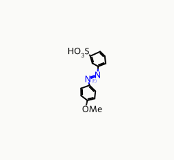 COc1ccc(/N=N/c2cccc(S(=O)(=O)O)c2)cc1